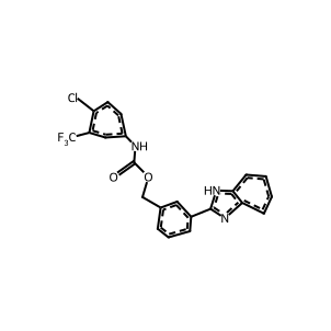 O=C(Nc1ccc(Cl)c(C(F)(F)F)c1)OCc1cccc(-c2nc3ccccc3[nH]2)c1